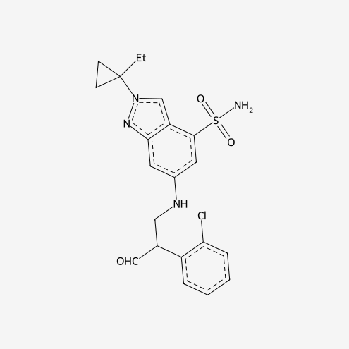 CCC1(n2cc3c(S(N)(=O)=O)cc(NCC(C=O)c4ccccc4Cl)cc3n2)CC1